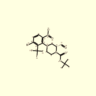 CC(C)(C)OC(=O)N1CCN(c2c([N+](=O)[O-])ccc(Br)c2C(F)(F)F)C[C@@H]1C=O